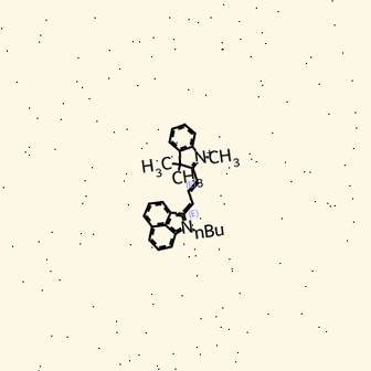 CCCCn1/c(=C/C=C/C2=[N+](C)c3ccccc3C2(C)C)c2cccc3cccc1c32